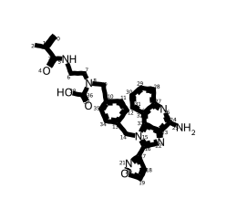 C=C(C)C(=O)NCCN(Cc1ccc(Cn2c(-c3ccon3)nc3c(N)nc4ccccc4c32)cc1)C(=O)O